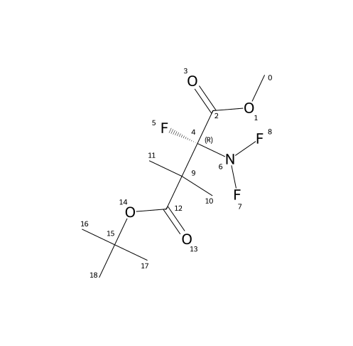 COC(=O)[C@@](F)(N(F)F)C(C)(C)C(=O)OC(C)(C)C